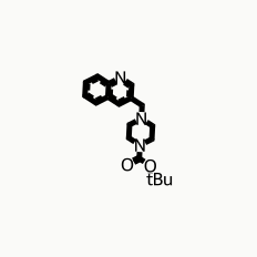 CC(C)(C)OC(=O)N1CCN(Cc2cnc3ccccc3c2)CC1